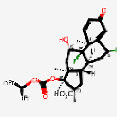 CCCC(OC(=O)O[C@]1(C(=O)O)[C@H](C)C[C@H]2[C@@H]3C[C@H](F)C4=CC(=O)C=C[C@]4(C)[C@@]3(F)[C@@H](O)C[C@@]21C)C(C)C